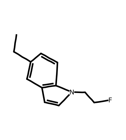 CCc1ccc2c(ccn2CCF)c1